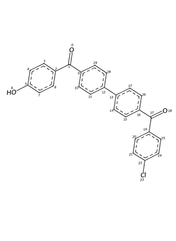 O=C(c1ccc(O)cc1)c1ccc(-c2ccc(C(=O)c3ccc(Cl)cc3)cc2)cc1